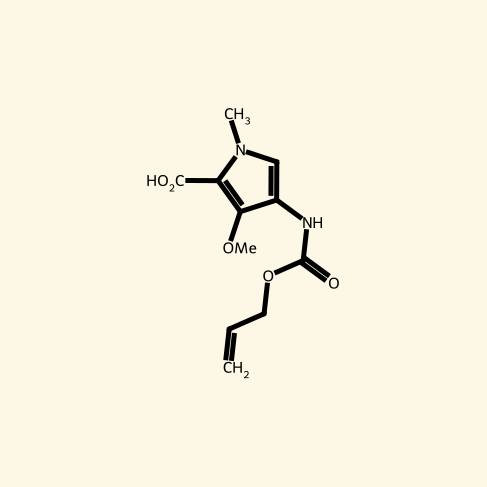 C=CCOC(=O)Nc1cn(C)c(C(=O)O)c1OC